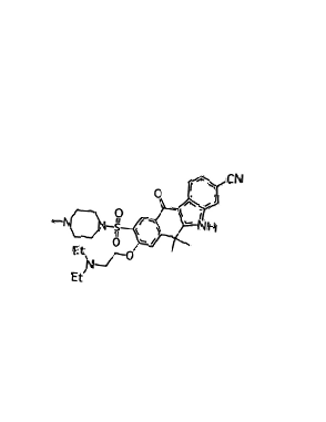 CCN(CC)CCOc1cc2c(cc1S(=O)(=O)N1CCN(C)CC1)C(=O)c1c([nH]c3cc(C#N)ccc13)C2(C)C